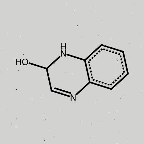 OC1C=Nc2ccccc2N1